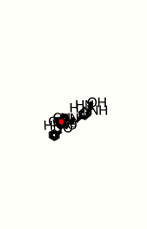 CS(=O)(=O)N[C@H](Cc1ccccc1)C(=O)N1CCC[C@H]1C(=O)NCC1CCN(C(=N)NO)CC1